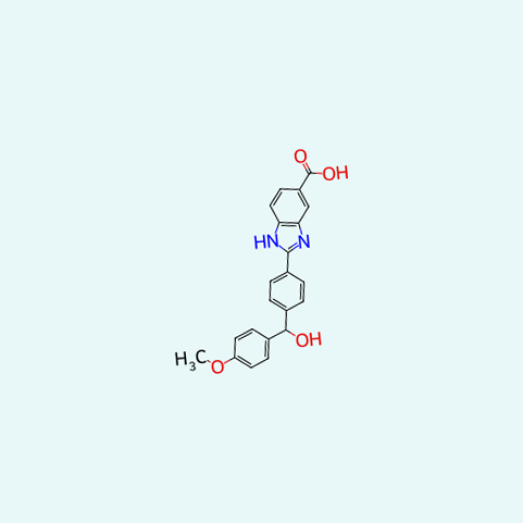 COc1ccc(C(O)c2ccc(-c3nc4cc(C(=O)O)ccc4[nH]3)cc2)cc1